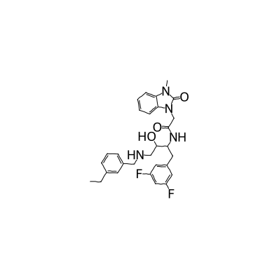 CCc1cccc(CNCC(O)C(Cc2cc(F)cc(F)c2)NC(=O)Cn2c(=O)n(C)c3ccccc32)c1